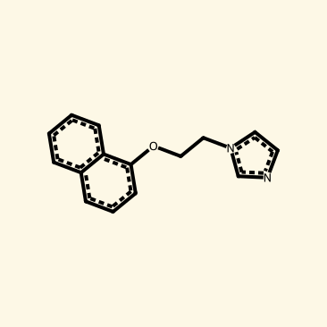 c1ccc2c(OCCn3ccnc3)cccc2c1